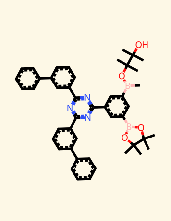 CB(OC(C)(C)C(C)(C)O)c1cc(B2OC(C)(C)C(C)(C)O2)cc(-c2nc(-c3cccc(-c4ccccc4)c3)nc(-c3cccc(-c4ccccc4)c3)n2)c1